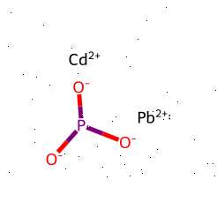 [Cd+2].[O-]P([O-])[O-].[Pb+2]